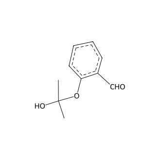 CC(C)(O)Oc1ccccc1C=O